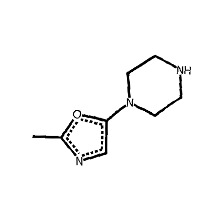 Cc1ncc(N2CCNCC2)o1